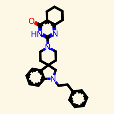 O=c1[nH]c(N2CCC3(CC2)CN(CCc2ccccc2)c2ccccc23)nc2c1CCCC2